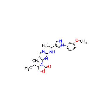 COc1cccc(-n2cc(C(C)Nc3nccc(N4C(=O)OCC4C(C)C)n3)cn2)c1